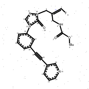 CC(C)(C)OC(=O)NC/C(=C\F)Cn1ncn(-c2cccc(C#Cc3cccnc3)c2)c1=O